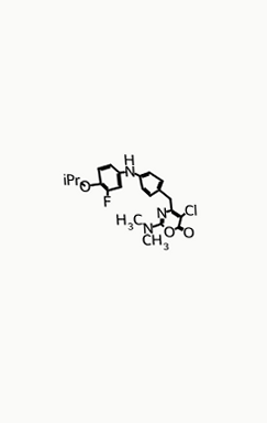 CC(C)Oc1ccc(Nc2ccc(Cc3nc(N(C)C)oc(=O)c3Cl)cc2)cc1F